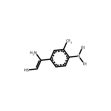 CCN(CC)c1ccc(/C(N)=C/S)cc1C(F)(F)F